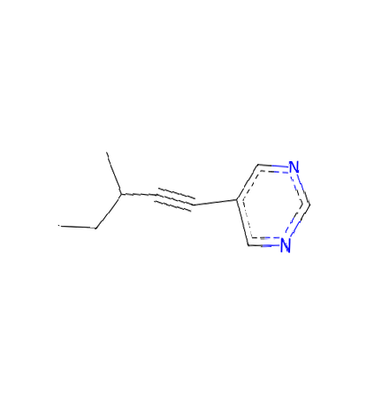 CCC(C)C#Cc1cncnc1